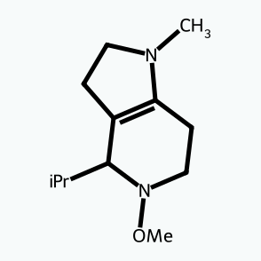 CON1CCC2=C(CCN2C)C1C(C)C